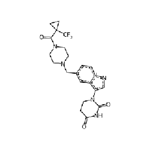 O=C1CCN(c2cnn3ccc(CN4CCN(C(=O)C5(C(F)(F)F)CC5)CC4)cc23)C(=O)N1